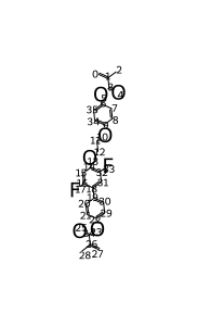 C=C(C)C(=O)Oc1ccc(OCCOc2cc(F)c(-c3ccc(OC(=O)C(=C)C)cc3)cc2F)cc1